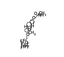 CNC(=O)COc1ccc2c(c1)CC[C@@H]1[C@@H]2CC[C@]2(C)[C@@H](OCCCOC(C(F)(F)F)(C(F)(F)F)C(F)(F)F)CC[C@@H]12